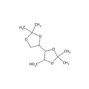 CC1(C)OCC(C2OC(C)(C)OC2C(=O)O)O1